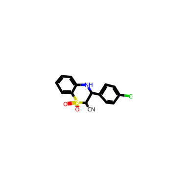 N#CC1C(c2ccc(Cl)cc2)Nc2ccccc2S1(=O)=O